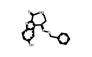 O=C1NCC/C(=N\OCc2ccccc2)c2c1oc1ccc(O)cc21